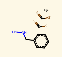 NNCc1ccccc1.S=C[S-].S=C[S-].[Pt+2]